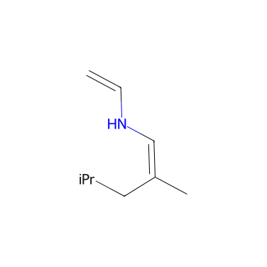 C=CN/C=C(/C)CC(C)C